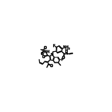 C=CNC(=O)c1cc(Cn2c(C(=O)NS(C)(=O)=O)c(/C(=C/C=C\C)C(C)=O)c3cc(C)c(F)cc32)c(F)cc1N